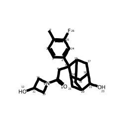 Cc1ccc(C2(CC(=O)N3CC(O)C3)C3CC4CC2CC(C3)C4O)cc1F